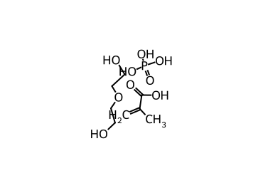 C=C(C)C(=O)O.O=P(O)(O)O.OCCOCCO